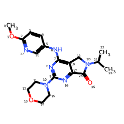 COc1ccc(Nc2nc(N3CCOCC3)nc3c2CN(C(C)C)C3=O)cn1